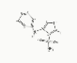 Cc1scc(N(C)c2ccccc2)c1S(N)(=O)=O